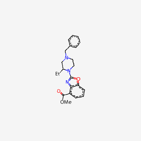 CCC1CN(Cc2ccccc2)CCN1c1nc2c(C(=O)OC)cccc2o1